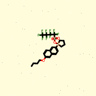 CCCCOc1ccc2cc(S3(OS(=O)(=O)C(F)(F)C(F)(F)C(F)(F)C(F)(F)F)CCCC3)ccc2c1